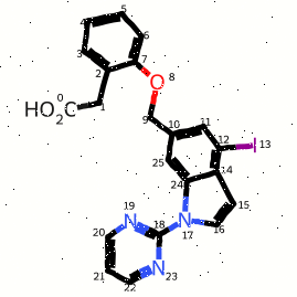 O=C(O)Cc1ccccc1OCc1cc(I)c2ccn(-c3ncccn3)c2c1